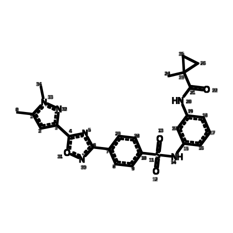 Cc1cc(-c2nc(-c3ccc(S(=O)(=O)Nc4cccc(NC(=O)C5(C)CC5)c4)cc3)no2)nn1C